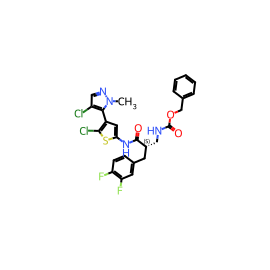 Cn1ncc(Cl)c1-c1cc(NC(=O)[C@H](CNC(=O)OCc2ccccc2)Cc2ccc(F)c(F)c2)sc1Cl